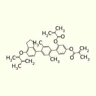 C=C(C)C(=C)Oc1ccc(-c2cc(C)c(-c3ccc(OC(=O)C(=C)C)cc3OC(=O)C(=C)C)cc2C)c2c1CCC2